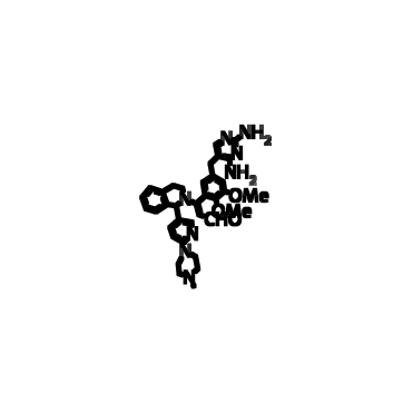 COc1cc(Cc2cnc(N)nc2N)cc(C(=CC=O)N2CCc3ccccc3C2c2ccc(N3CCN(C)CC3)nc2)c1OC